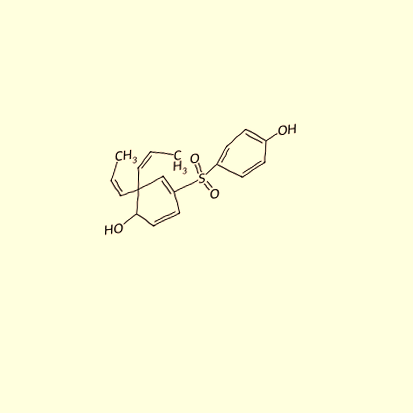 C/C=C\C1(/C=C\C)C=C(S(=O)(=O)c2ccc(O)cc2)C=CC1O